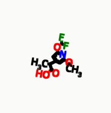 COc1cc(C(C)C(=O)O)cc(OC(F)F)n1